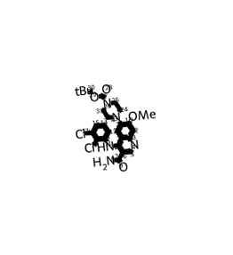 COc1cc2ncc(C(N)=O)c(Nc3cccc(Cl)c3Cl)c2cc1N1CCN(C(=O)OC(C)(C)C)CC1